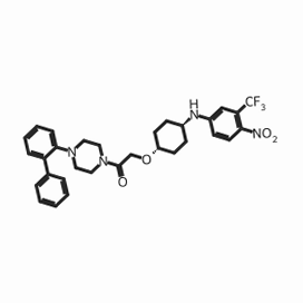 O=C(CO[C@H]1CC[C@H](Nc2ccc([N+](=O)[O-])c(C(F)(F)F)c2)CC1)N1CCN(c2ccccc2-c2ccccc2)CC1